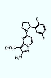 CCOC(=O)c1c(N)nn2ccc(N3CCCC3c3cc(F)ccc3F)nc12